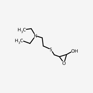 CCN(CC)CCSCC1OC1O